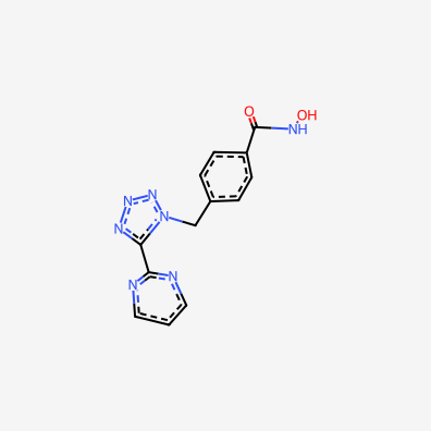 O=C(NO)c1ccc(Cn2nnnc2-c2ncccn2)cc1